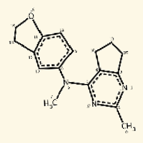 Cc1nc2c(c(N(C)c3ccc4c(c3)CCO4)n1)CCC2